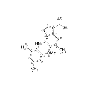 CCC(CC)c1cnn2c(Nc3c(C)cc(C)cc3OC)nc(C)nc12